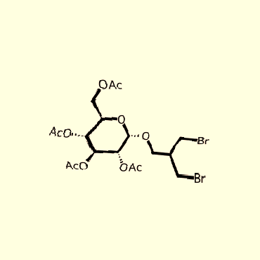 CC(=O)OC[C@H]1O[C@H](OCC(CBr)CBr)[C@H](OC(C)=O)[C@@H](OC(C)=O)[C@@H]1OC(C)=O